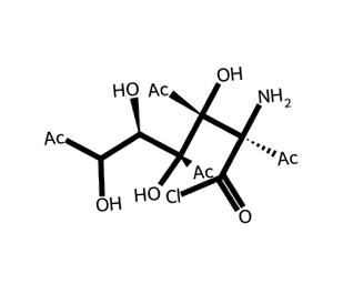 CC(=O)C(O)[C@@H](O)[C@](O)(C(C)=O)[C@@](O)(C(C)=O)[C@](N)(C(C)=O)C(=O)Cl